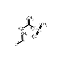 C=C(C)C.C=C=C.C=CCl